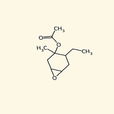 CCC1CC2OC2CC1(C)OC(C)=O